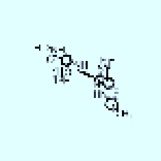 [2H]C([2H])([2H])Oc1cc(C(=O)NC)ccc1NCC#Cc1nc2c(N[C@@H]3CCN(C)C[C@@H]3F)cccn2c1SC(F)(F)F